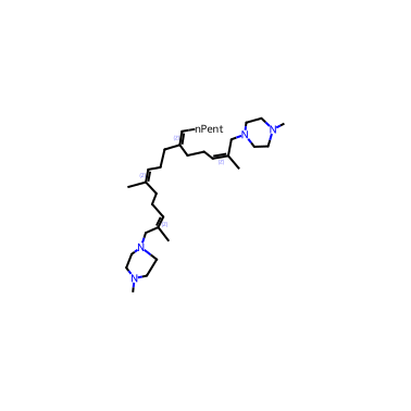 CCCCC/C=C(/CC/C=C(/C)CC/C=C(/C)CN1CCN(C)CC1)CC/C=C(/C)CN1CCN(C)CC1